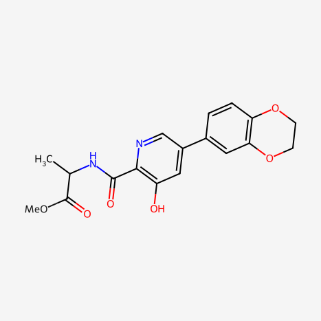 COC(=O)C(C)NC(=O)c1ncc(-c2ccc3c(c2)OCCO3)cc1O